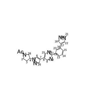 CC(=O)N1CCC(n2cc(-c3cnc(-c4cccc(-c5cnn(C)c5)c4)nc3)cn2)C1